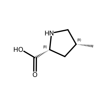 C[C@H]1CN[C@@H](C(=O)O)C1